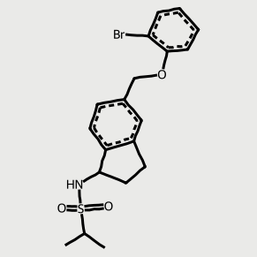 CC(C)S(=O)(=O)NC1CCc2cc(COc3ccccc3Br)ccc21